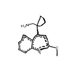 COc1cc(C2(N)CC2)c2ccccc2n1